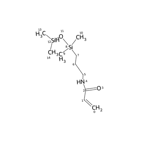 C=CC(=O)NCCC[Si](C)(C)O[SiH](C)C